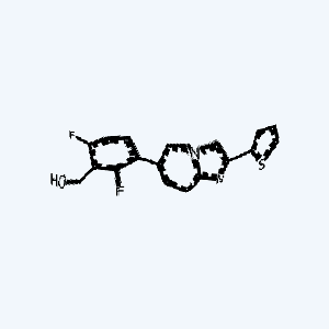 OCc1c(F)ccc(-c2ccc3nc(-c4cccs4)cn3c2)c1F